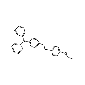 CCOc1ccc(CCc2ccc(N(c3ccccc3)c3ccccc3)cc2)cc1